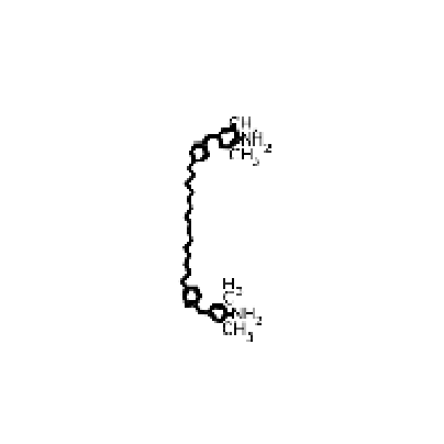 Cc1cc(Cc2ccc(CCCCCCCCCCCCCCCc3ccc(Cc4cc(C)c(N)c(C)c4)cc3)cc2)cc(C)c1N